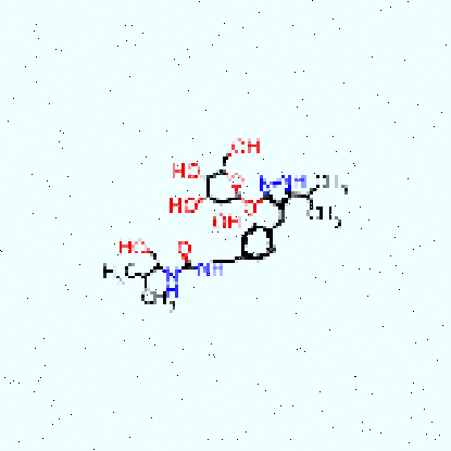 CC(C)c1[nH]nc(O[C@@H]2O[C@H](CO)[C@@H](O)[C@H](O)[C@H]2O)c1Cc1ccc(CCNC(=O)N[C@H](CO)C(C)C)cc1